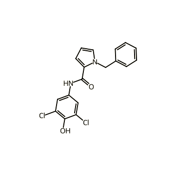 O=C(Nc1cc(Cl)c(O)c(Cl)c1)c1cccn1Cc1ccccc1